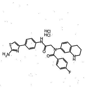 Cl.Cl.Nc1nc(-c2ccc(NC(=O)CN(C(=O)c3ccc(F)cc3)c3ccc4c(c3)NCCC4)cc2)cs1